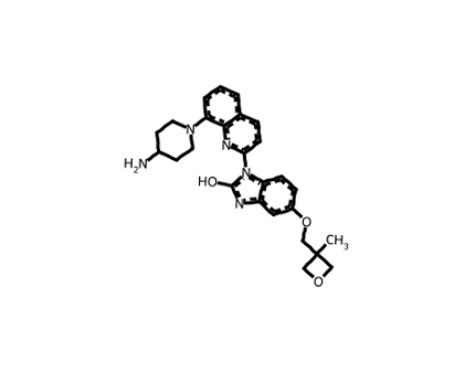 CC1(COc2ccc3c(c2)nc(O)n3-c2ccc3cccc(N4CCC(N)CC4)c3n2)COC1